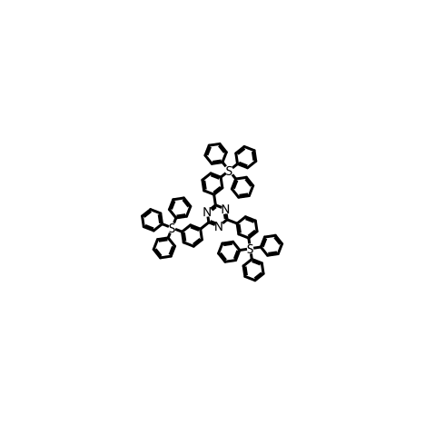 c1ccc(S(c2ccccc2)(c2ccccc2)c2cccc(-c3nc(-c4cccc(S(c5ccccc5)(c5ccccc5)c5ccccc5)c4)nc(-c4cccc(S(c5ccccc5)(c5ccccc5)c5ccccc5)c4)n3)c2)cc1